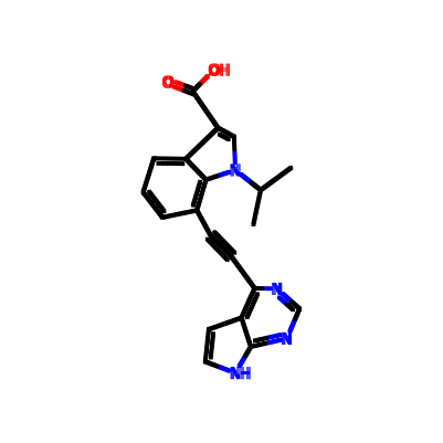 CC(C)n1cc(C(=O)O)c2cccc(C#Cc3ncnc4[nH]ccc34)c21